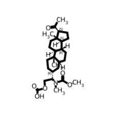 COC(=O)N(C)C(COC(=O)O)[C@@H]1CC[C@@]2(C)[C@@H](CC[C@@H]3[C@@H]2CC[C@]2(C)[C@@H](C(C)=O)CC[C@@H]32)C1